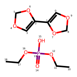 C1=C(C2=COCO2)OCO1.CCOP(=O)(O)OCC